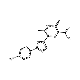 Cc1[nH]c(=O)c(C(N)=O)cc1-c1csc(-c2ccc(N)cc2)n1